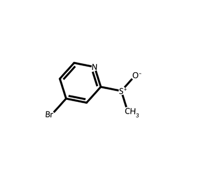 C[S+]([O-])c1cc(Br)ccn1